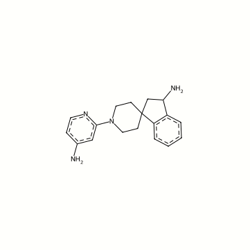 Nc1ccnc(N2CCC3(CC2)CC(N)c2ccccc23)c1